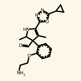 CC1=C(c2nnc(C3CC3)o2)NC(C)C1(C=O)c1ccccc1OCCN